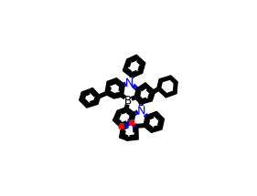 c1ccc(-c2ccc3c(c2)B2c4ccccc4N(c4ccccc4-c4ccccn4)c4cc(C5CCCCC5)cc(c42)N3c2ccccc2)cc1